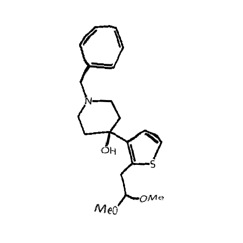 COC(Cc1sccc1C1(O)CCN(Cc2ccccc2)CC1)OC